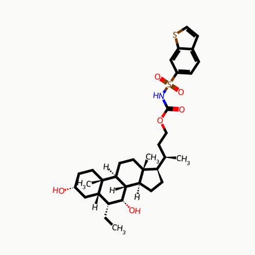 CC[C@H]1[C@@H](O)[C@@H]2[C@H](CC[C@]3(C)[C@@H]([C@H](C)CCOC(=O)NS(=O)(=O)c4ccc5ccsc5c4)CC[C@@H]23)[C@@]2(C)CC[C@@H](O)C[C@@H]12